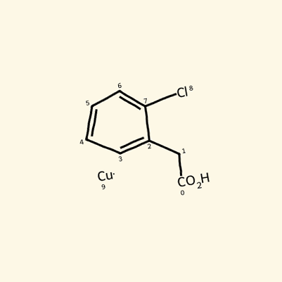 O=C(O)Cc1ccccc1Cl.[Cu]